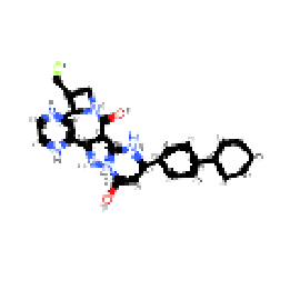 CC1C(CF)CN1C(=O)c1c(-c2cnccn2)nn2c(=O)cc(-c3ccc(C4CCCCC4)cc3)[nH]c12